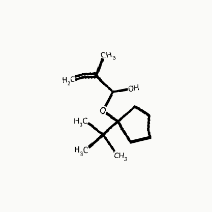 C=C(C)C(O)OC1(C(C)(C)C)CCCC1